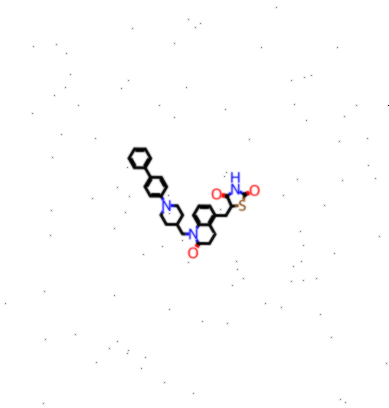 O=C1NC(=O)C(Cc2cccc3c2CCC(=O)N3CC2CCN(c3ccc(-c4ccccc4)cc3)CC2)S1